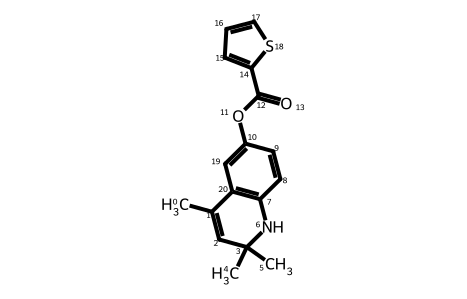 CC1=CC(C)(C)Nc2ccc(OC(=O)c3cccs3)cc21